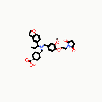 CCC(c1ccc2c(c1)CCO2)N(Cc1ccc(OCCN2C(=O)CCC2=O)c(OC)c1)C[C@H]1CC[C@H](C(=O)O)CC1